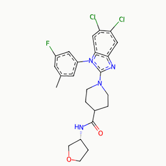 Cc1cc(F)cc(-n2c(N3CCC(C(=O)N[C@@H]4CCOC4)CC3)nc3cc(Cl)c(Cl)cc32)c1